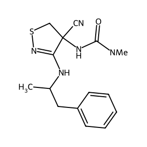 CNC(=O)NC1(C#N)CSN=C1NC(C)Cc1ccccc1